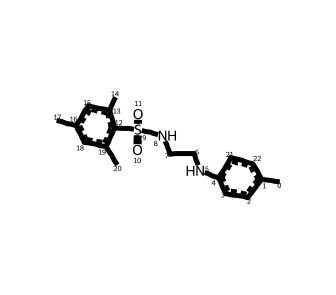 Cc1ccc(NCCNS(=O)(=O)c2c(C)cc(C)cc2C)cc1